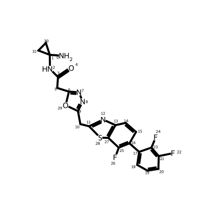 NC1(NC(=O)Cc2nnc(Cc3nc4ccc(-c5cccc(F)c5F)c(F)c4s3)o2)CC1